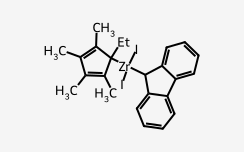 CC[C]1([Zr]([I])([I])[CH]2c3ccccc3-c3ccccc32)C(C)=C(C)C(C)=C1C